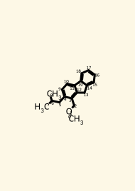 COCc1c(CC(C)C)ccc2c1Cc1ccccc1-2